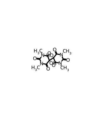 CN1C(=O)N(C)C(=O)C(O)(C2(O)C(=O)N(C)C(=O)N(C)C2=O)C1=O